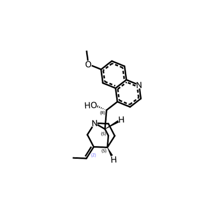 C/C=C1\CN2CC[C@H]1C[C@H]2[C@H](O)c1ccnc2ccc(OC)cc12